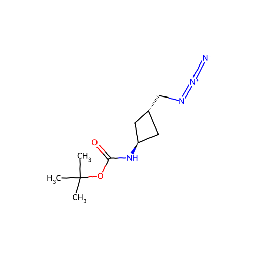 CC(C)(C)OC(=O)N[C@H]1C[C@H](CN=[N+]=[N-])C1